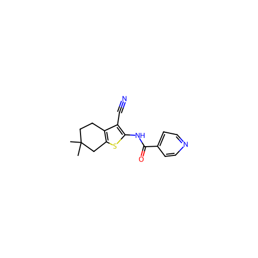 CC1(C)CCc2c(sc(NC(=O)c3ccncc3)c2C#N)C1